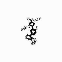 CCn1cnc2c(-c3ccc(F)c(-c4ccc(C(=O)NC)cc4OC)c3)cnnc21